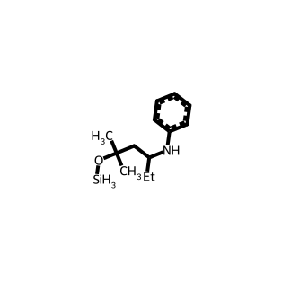 CCC(CC(C)(C)O[SiH3])Nc1ccccc1